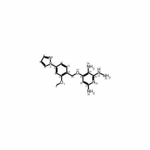 COc1cc(-n2cccn2)ccc1COc1cc(N)nc(NN)c1N